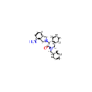 Nc1cccc2c1CN(CC(=O)N(Cc1ccccc1)Cc1ccccc1)C2